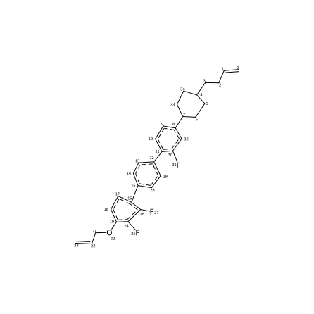 C=CCCC1CCC(c2ccc(-c3ccc(-c4ccc(OCC=C)c(F)c4F)cc3)c(F)c2)CC1